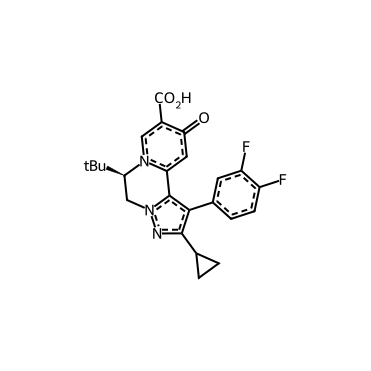 CC(C)(C)[C@@H]1Cn2nc(C3CC3)c(-c3ccc(F)c(F)c3)c2-c2cc(=O)c(C(=O)O)cn21